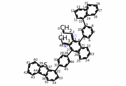 C=C/C=c1/c(-c2cccc(-c3cccc4ccccc34)c2)c2ccccc2c(-c2ccc(-c3cccc4c3sc3ccccc34)cc2)/c1=C/C